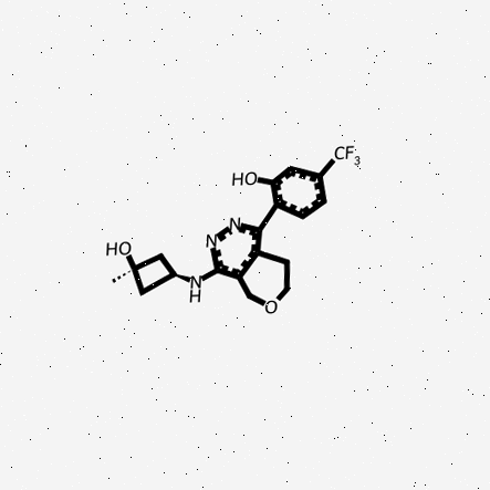 C[C@]1(O)C[C@@H](Nc2nnc(-c3ccc(C(F)(F)F)cc3O)c3c2COCC3)C1